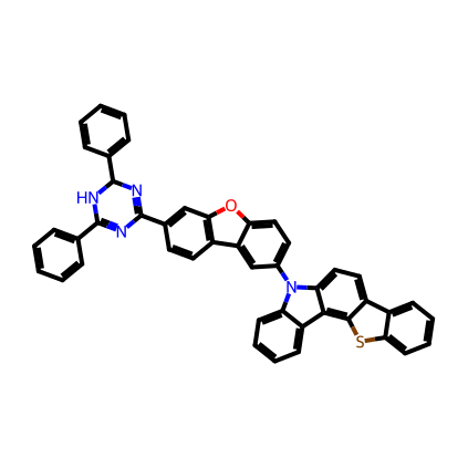 c1ccc(C2=NC(c3ccc4c(c3)oc3ccc(-n5c6ccccc6c6c7sc8ccccc8c7ccc65)cc34)=NC(c3ccccc3)N2)cc1